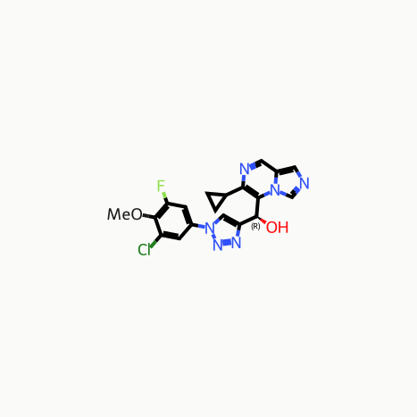 COc1c(F)cc(-n2cc([C@H](O)c3c(C4CC4)ncc4cncn34)nn2)cc1Cl